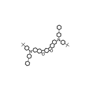 CC(C)(C)c1ccc(N(c2ccc(-c3ccccc3)cc2)c2ccc3cc4c(cc3c2)oc2cc3oc5cc6cc(N(c7ccc(-c8ccccc8)cc7)c7ccc(C(C)(C)C)cc7)ccc6cc5c3cc24)cc1